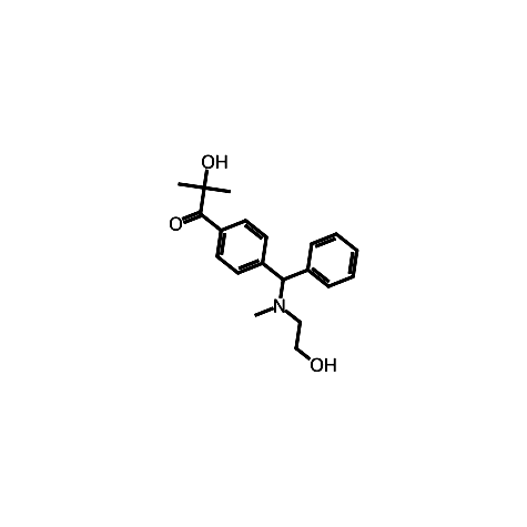 CN(CCO)C(c1ccccc1)c1ccc(C(=O)C(C)(C)O)cc1